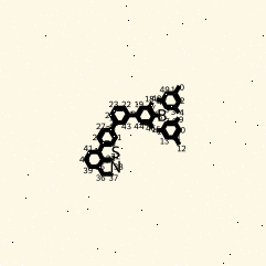 CC1=CC(C)=C(B(c2c(C)cc(C)cc2C)c2c(C)cc(-c3cccc(-c4ccc5c(c4)SC4=C6C(CC=N4)CCCC65)c3)cc2C)C(C)C1